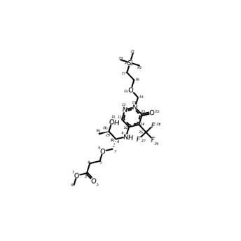 COC(=O)CCOC[C@@H](Nc1cnn(COCC[Si](C)(C)C)c(=O)c1C(F)(F)F)[C@@H](C)O